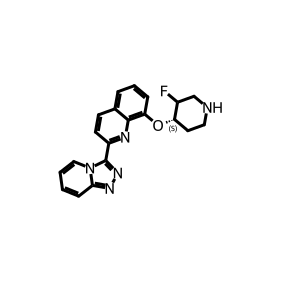 FC1CNCC[C@@H]1Oc1cccc2ccc(-c3nnc4ccccn34)nc12